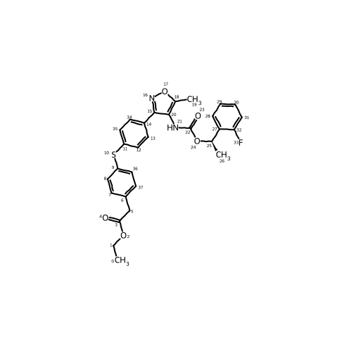 CCOC(=O)Cc1ccc(Sc2ccc(-c3noc(C)c3NC(=O)O[C@H](C)c3ccccc3F)cc2)cc1